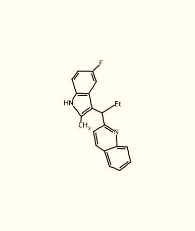 CCC(c1ccc2ccccc2n1)c1c(C)[nH]c2ccc(F)cc12